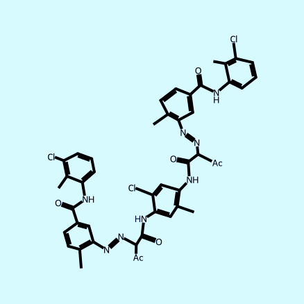 CC(=O)C(/N=N/c1cc(C(=O)Nc2cccc(Cl)c2C)ccc1C)C(=O)Nc1cc(Cl)c(NC(=O)C(/N=N/c2cc(C(=O)Nc3cccc(Cl)c3C)ccc2C)C(C)=O)cc1C